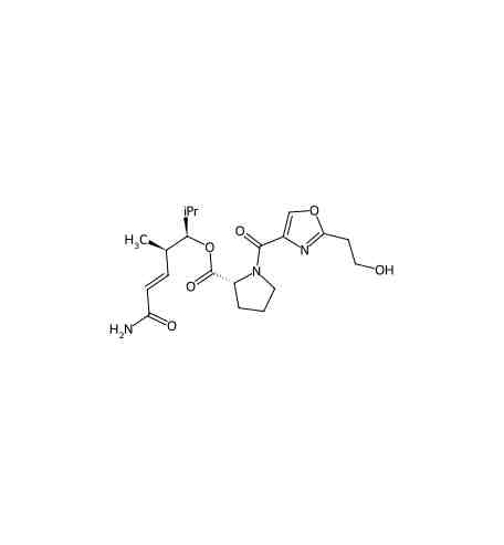 CC(C)[C@@H](OC(=O)[C@H]1CCCN1C(=O)c1coc(CCO)n1)[C@H](C)/C=C/C(N)=O